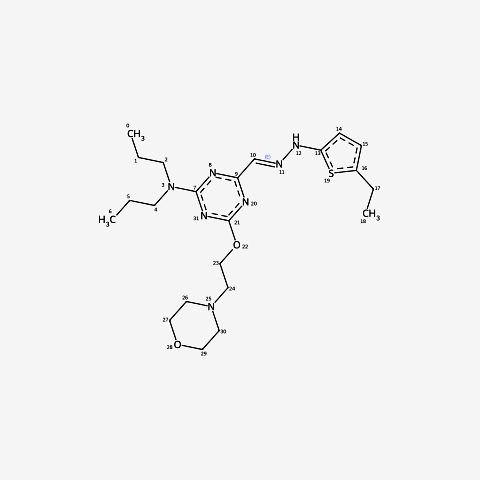 CCCN(CCC)c1nc(/C=N/Nc2ccc(CC)s2)nc(OCCN2CCOCC2)n1